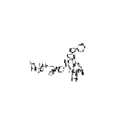 CN(C)C/C=C/C(=O)N1CC[C@@H](Nc2n[nH]c3ncnc(Oc4ccc(Oc5ccccc5)cc4)c23)C1